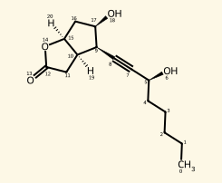 CCCCC[C@H](O)C#C[C@H]1[C@H]2CC(=O)O[C@H]2C[C@H]1O